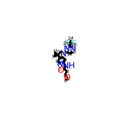 COCCC(=O)Nc1cc2c(cn1)C1(CC1)CN2c1ccnc(C(C)(F)F)n1